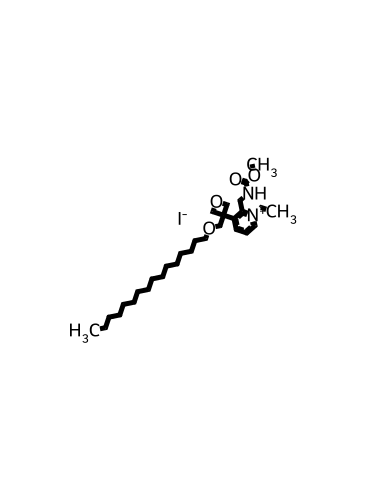 CCCCCCCCCCCCCCCCOCC1(c2ccc[n+](CC)c2CNC(=O)OC)COC1.[I-]